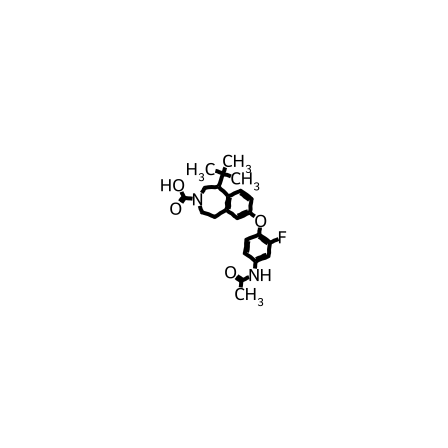 CC(=O)Nc1ccc(Oc2ccc3c(c2)CCN(C(=O)O)CC3C(C)(C)C)c(F)c1